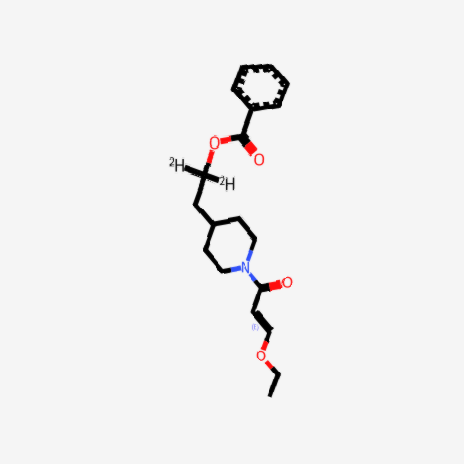 [2H]C([2H])(CC1CCN(C(=O)/C=C/OCC)CC1)OC(=O)c1ccccc1